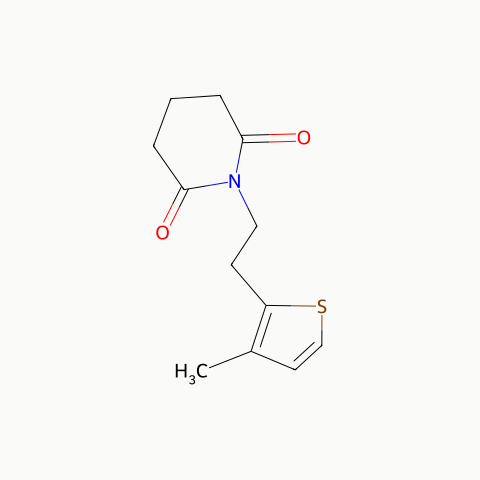 Cc1ccsc1CCN1C(=O)CCCC1=O